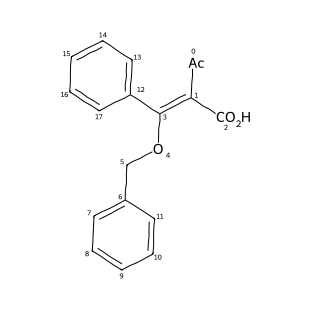 CC(=O)C(C(=O)O)=C(OCc1ccccc1)c1ccccc1